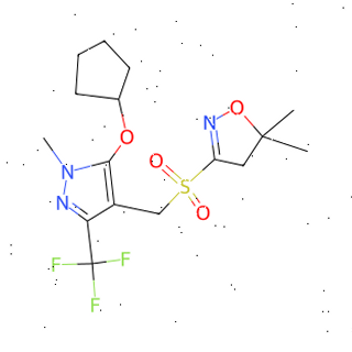 Cn1nc(C(F)(F)F)c(CS(=O)(=O)C2=NOC(C)(C)C2)c1OC1CCCC1